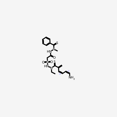 C=C(/C=C\C=C/N)C(=S)N(CC)NS(=O)(=O)CC(=O)NN(C)C(=S)c1ccccc1